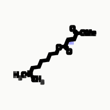 COC(=O)/C=C/C(=O)OCCCCCCN(C)C